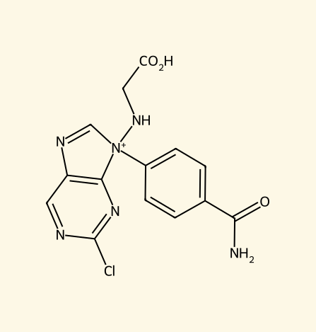 NC(=O)c1ccc([N+]2(NCC(=O)O)C=Nc3cnc(Cl)nc32)cc1